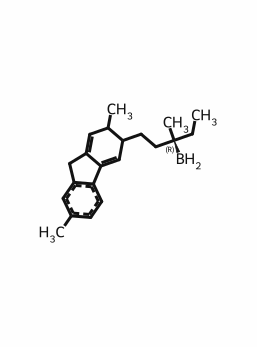 B[C@@](C)(CC)CCC1C=C2C(=CC1C)Cc1cc(C)ccc12